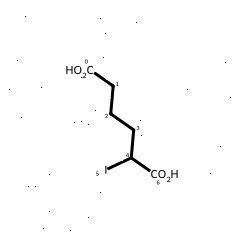 O=C(O)CCCC(I)C(=O)O